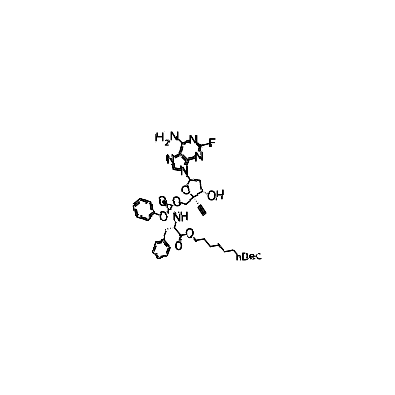 C#C[C@]1(COP(=O)(N[C@@H](Cc2ccccc2)C(=O)OCCCCCCCCCCCCCCCC)Oc2ccccc2)O[C@@H](n2cnc3c(N)nc(F)nc32)C[C@@H]1O